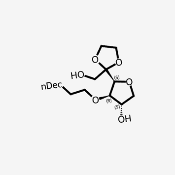 CCCCCCCCCCCCO[C@@H]1[C@@H](O)CO[C@@H]1C1(CO)OCCO1